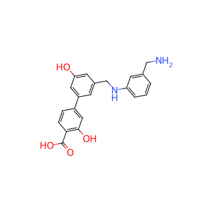 NCc1cccc(NCc2cc(O)cc(-c3ccc(C(=O)O)c(O)c3)c2)c1